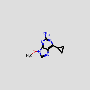 COn1cnc2c(C3CC3)nc(N)nc21